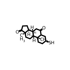 C[C@]12CCC(S)CC1C(=O)C[C@@H]1[C@H]2CC[C@]2(C)C(=O)CC[C@@H]12